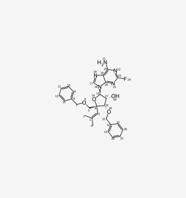 CC(C)=C[C@]1(COCc2ccccc2)O[C@@H](n2cnc3c(N)nc(F)nc32)[C@H](O)[C@@H]1OCc1ccccc1